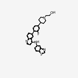 OCCN1CCC(c2ccc(-c3ccc4nccc(Nc5ccc6scnc6c5)c4c3)c(F)c2)CC1